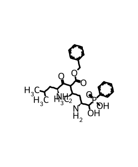 CC(C)C[C@H](N)C(=O)C(C(=O)OCc1ccccc1)C(C)C[C@H](N)C(O)P(=O)(O)c1ccccc1